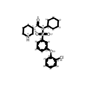 O=C([C@H]1CCCNC1)N(C1CCCCC1)S(=O)(=O)c1cccc(Oc2ccccc2Cl)c1